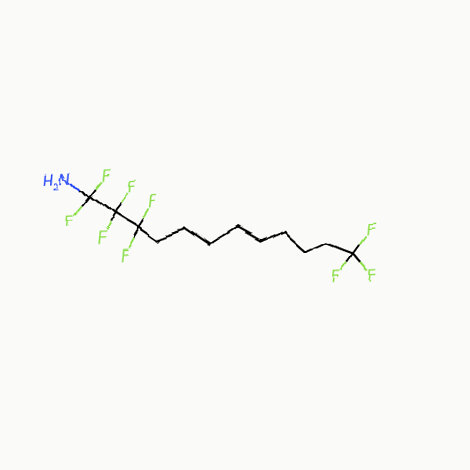 NC(F)(F)C(F)(F)C(F)(F)CCCCCCCCC(F)(F)F